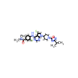 CC(C)c1noc(N2CCC(n3cc(F)c4c(Nc5ccc(C(=O)N(C)C)cc5F)ncnc43)CC2)n1